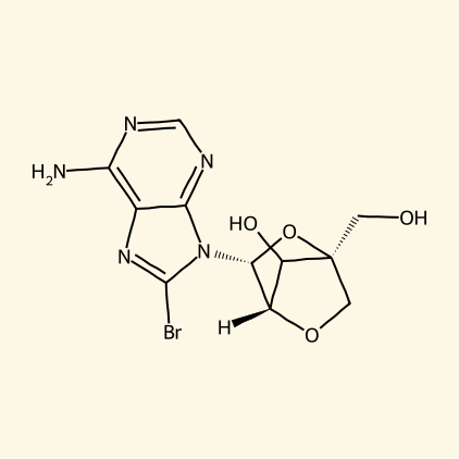 Nc1ncnc2c1nc(Br)n2[C@@H]1O[C@@]2(CO)CO[C@H]1C2O